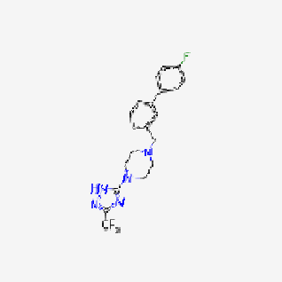 Fc1ccc(-c2cccc(CN3CCN(c4nc(C(F)(F)F)n[nH]4)CC3)c2)cc1